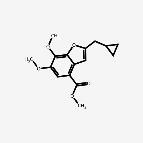 COC(=O)c1cc(OC)c(OC)c2oc(CC3CC3)cc12